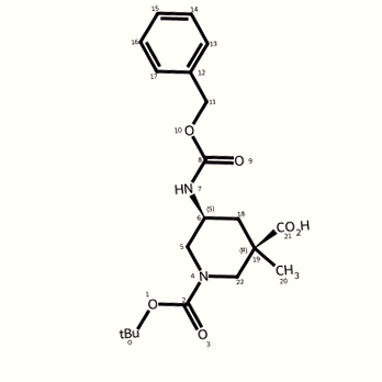 CC(C)(C)OC(=O)N1C[C@@H](NC(=O)OCc2ccccc2)C[C@@](C)(C(=O)O)C1